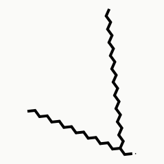 [CH2]CC(CCCCCCCCCCCCCCC)CCCCCCCCCCCCCCCCCCCCC